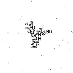 CC(C)(C)OC(=O)N[C@@H](CC(=O)ON1C(=O)CCC1=O)C(=O)OCc1ccccc1